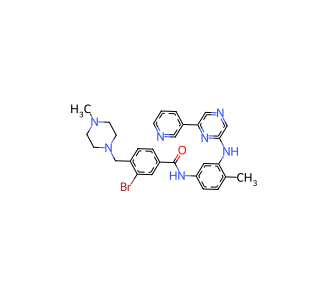 Cc1ccc(NC(=O)c2ccc(CN3CCN(C)CC3)c(Br)c2)cc1Nc1cncc(-c2cccnc2)n1